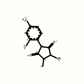 CCCC1C(=O)C(c2ccc(C(F)(F)F)cc2Cl)C(=O)C1C